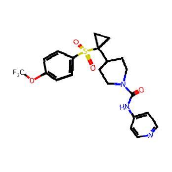 O=C(Nc1ccncc1)N1CCC(C2(S(=O)(=O)c3ccc(OC(F)(F)F)cc3)CC2)CC1